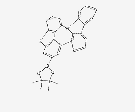 CC1(C)OB(c2cc3sc4cccc5c4c3c(c2)c2cccc3c4ccccc4n5c23)OC1(C)C